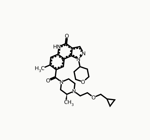 Cc1cc2[nH]c(=O)c3cnn(C4CCOCC4)c3c2cc1C(=O)N1CCN(CCOCC2CC2)[C@@H](C)C1